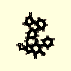 CCc1nc2[nH]c(=O)n(-c3ccccc3)c(=O)c2n1Cc1ccc(-c2ccccc2-c2nnn[nH]2)cc1